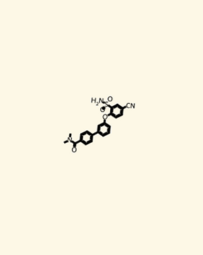 CN(C)C(=O)c1ccc(-c2cccc(Oc3ccc(C#N)cc3S(N)(=O)=O)c2)cc1